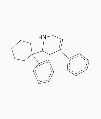 C1=C(c2ccccc2)CC(C2(c3ccccc3)CCCCC2)NC1